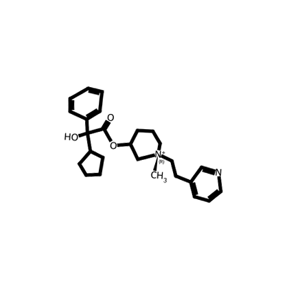 C[N@+]1(CCc2cccnc2)CCCC(OC(=O)C(O)(c2ccccc2)C2CCCC2)C1